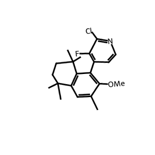 COc1c(C)cc2c(c1-c1ccnc(Cl)c1F)C(C)(C)CCC2(C)C